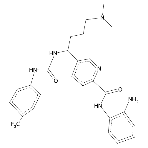 CN(C)CCCC(NC(=O)Nc1ccc(C(F)(F)F)cc1)c1ccc(C(=O)Nc2ccccc2N)nc1